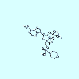 CC1(C)OC2[C@H](n3cnc4c(N)ncnc43)OC(F)(COP(=O)(O)N3CCOCC3)[C@@H]2O1